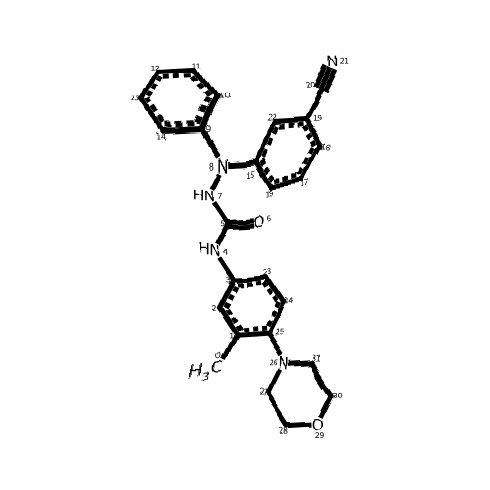 Cc1cc(NC(=O)NN(c2ccccc2)c2cccc(C#N)c2)ccc1N1CCOCC1